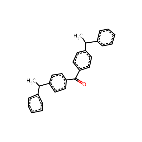 CC(c1ccccc1)c1ccc(C(=O)c2ccc(C(C)c3ccccc3)cc2)cc1